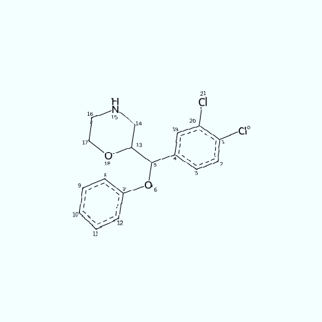 Clc1ccc(C(Oc2ccccc2)C2CNCCO2)cc1Cl